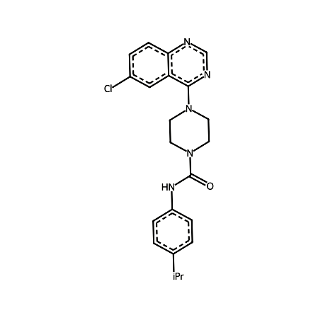 CC(C)c1ccc(NC(=O)N2CCN(c3ncnc4ccc(Cl)cc34)CC2)cc1